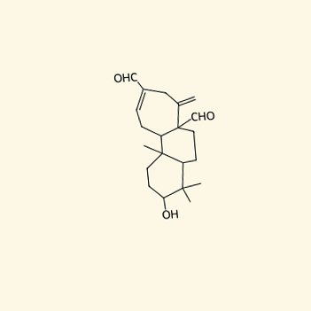 C=C1CC(C=O)=CCC2C1(C=O)CCC1C(C)(C)C(O)CCC21C